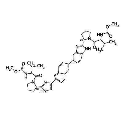 COC(=O)NC(C(=O)N1CCC[C@H]1c1nc(-c2ccc3cc(-c4ccc5[nH]c([C@@H]6CCCN6C(=O)C(NC(=O)OC)C(C)C)nc5c4)ccc3c2)c[nH]1)C(C)C